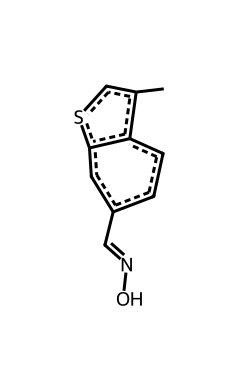 Cc1csc2cc(/C=N/O)ccc12